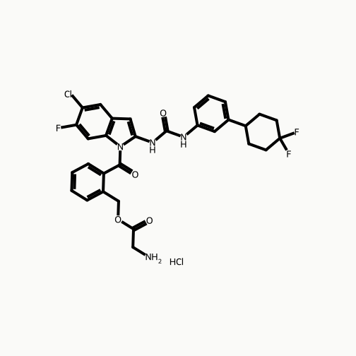 Cl.NCC(=O)OCc1ccccc1C(=O)n1c(NC(=O)Nc2cccc(C3CCC(F)(F)CC3)c2)cc2cc(Cl)c(F)cc21